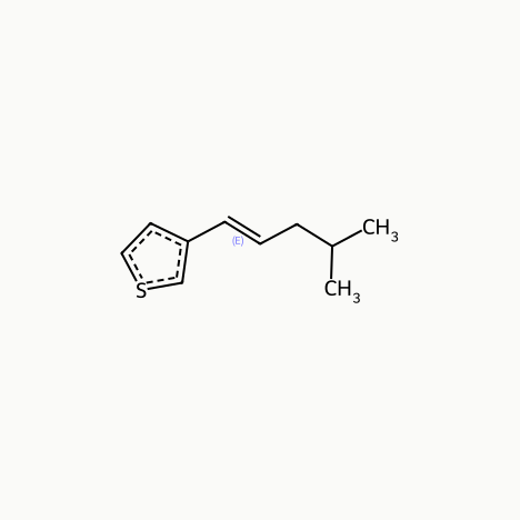 CC(C)C/C=C/c1ccsc1